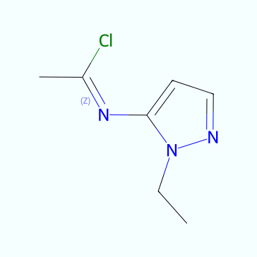 CCn1nccc1/N=C(/C)Cl